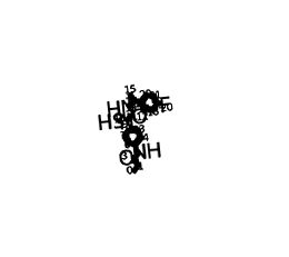 CCC(=O)Nc1ccc(N(S)C(=O)NC(C)c2ccc(F)cc2)cc1